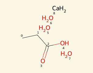 CCC(=O)O.O.O.O.[CaH2]